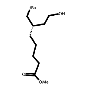 COC(=O)CCCC[C@@H](CCO)CC(C)(C)C